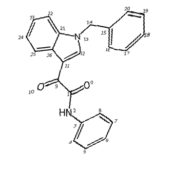 O=C(Nc1ccccc1)C(=O)c1cn(Cc2ccccc2)c2ccccc12